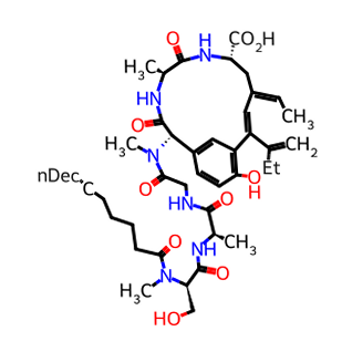 C=C(CC)/C1=C\C(=C/C)C[C@@H](C(=O)O)NC(=O)[C@H](C)NC(=O)[C@@H](N(C)C(=O)CNC(=O)[C@@H](C)NC(=O)[C@@H](CO)N(C)C(=O)CCCCCCCCCCCCCCC)c2ccc(O)c1c2